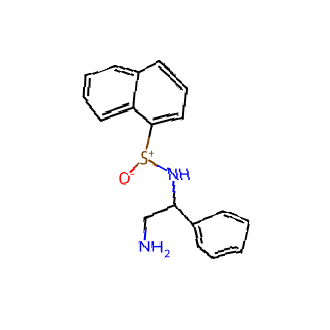 NCC(N[S+]([O-])c1cccc2ccccc12)c1ccccc1